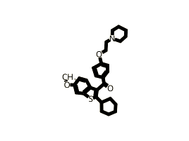 COc1ccc2c(C(=O)c3ccc(OCCN4CCCCC4)cc3)c(C3CCCCC3)sc2c1